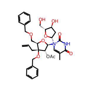 C=CC[C@@]1(OCc2ccccc2)[C@@H](COCc2ccccc2)O[C@@H]([N+]2([C@H]3C[C@H](O)[C@@H](CO)O3)C=C(C)C(=O)NC2=O)[C@@H]1OC(C)=O